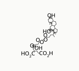 CC(CCC(=O)OCOC(=O)CCP(=O)(O)CC(CCC(=O)O)C(=O)O)[C@H]1CCC2C3CCC4C[C@H](O)CC[C@]4(C)C3C[C@H](O)[C@@]21C